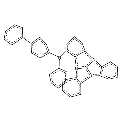 c1ccc(-c2ccc(N(c3ccccc3)c3cccc4c3n3c5ccccc5c5c6ccccc6n4c53)cc2)cc1